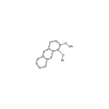 CCCOc1ccc2cc3ccccc3cc2c1OC(C)C